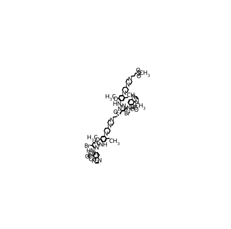 CCc1cc(Nc2nc(C[S+]([O-])CCN3CCN(C4CCN(c5cc(OC)c(Nc6ncc(Br)c(Nc7ccc8nccnc8c7P(C)(C)=O)n6)cc5CC)CC4)CC3)c(Br)c(Nc3ccc4nccnc4c3P(C)(C)=O)n2)c(OC)cc1N1CCC(N2CCN(CCCS(C)(=O)=O)CC2)CC1